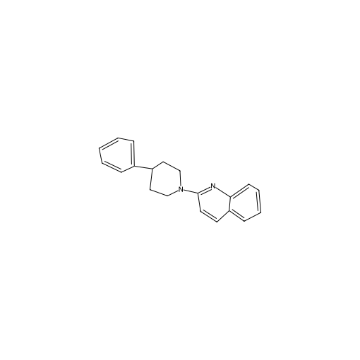 c1ccc(C2CCN(c3ccc4ccccc4n3)CC2)cc1